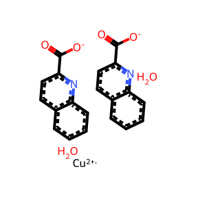 O.O.O=C([O-])c1ccc2ccccc2n1.O=C([O-])c1ccc2ccccc2n1.[Cu+2]